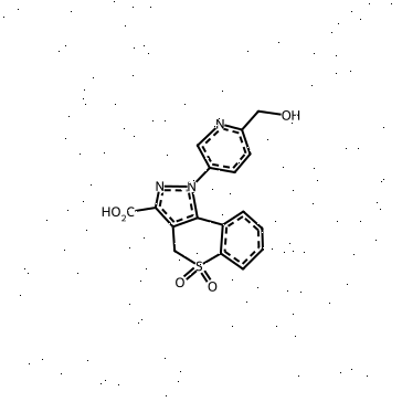 O=C(O)c1nn(-c2ccc(CO)nc2)c2c1CS(=O)(=O)c1ccccc1-2